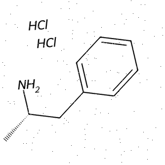 C[C@H](N)Cc1ccccc1.Cl.Cl